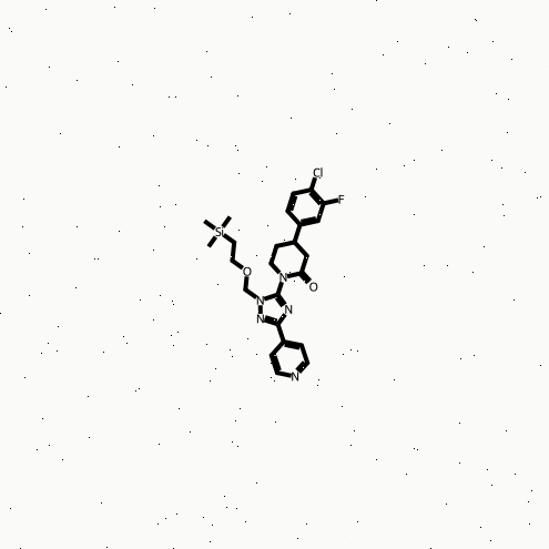 C[Si](C)(C)CCOCn1nc(-c2ccncc2)nc1N1CCC(c2ccc(Cl)c(F)c2)CC1=O